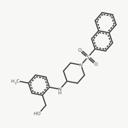 Cc1ccc(NC2CCN(S(=O)(=O)c3ccc4ccccc4c3)CC2)c(CO)c1